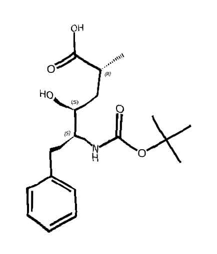 C[C@H](C[C@H](O)[C@H](Cc1ccccc1)NC(=O)OC(C)(C)C)C(=O)O